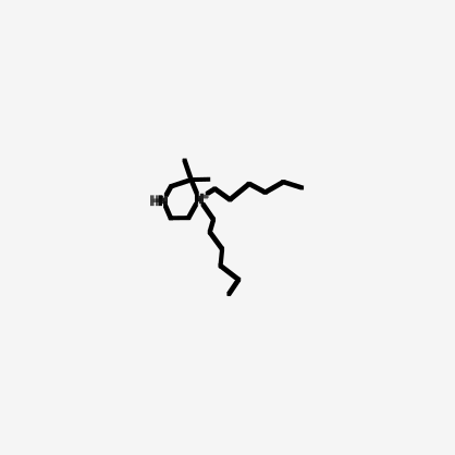 CCCCCC[N+]1(CCCCCC)CCNCC1(C)C